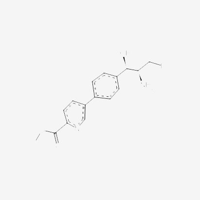 COC(=O)c1ccc(-c2ccc([C@@H](O)[C@H](N)CF)cc2)cn1